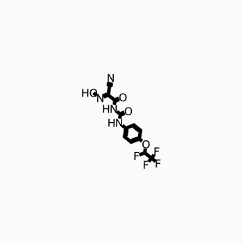 N#CC(=NO)C(=O)NC(=O)Nc1ccc(OC(F)C(F)(F)F)cc1